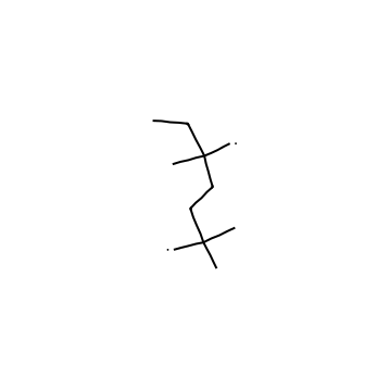 [CH2]C(C)(C)CCC([CH2])(C)CC